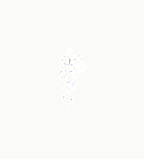 CC1(n2c(=O)c3c(-c4noc(-c5ccc(F)cc5)n4)ncn3c3ccc(Cl)c(C#N)c32)CCCO1